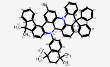 CC(C)(C)c1cc2c3c(c1)N1c4ccccc4C(c4ccccc4)(c4ccccc4)c4cccc(c41)B3N(c1ccc3c(c1)C(C)(C)CCC3(C)C)c1ccc3c(c1-2)-c1ccccc1C3(C)C